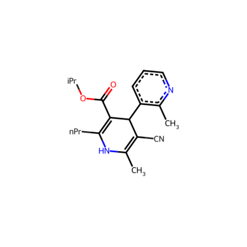 CCCC1=C(C(=O)OC(C)C)C(c2cccnc2C)C(C#N)=C(C)N1